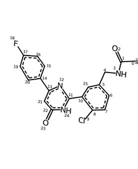 CC(C)C(=O)NCc1ccc(Cl)c(-c2nc(-c3ccc(F)cc3)cc(=O)[nH]2)c1